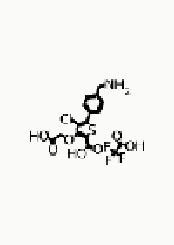 NCc1ccc(-c2sc(C(=O)O)c(OCC(=O)O)c2Cl)cc1.O=C(O)C(F)(F)F